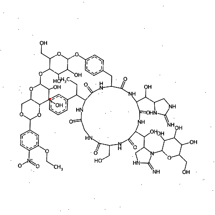 CCOc1cc(C2OCC3OC(OC4C(CO)OC(Oc5ccc(CC6NC(=O)C(C(CC)c7ccccc7)NC(=O)CNC(=O)C(CO)NC(=O)C(C(O)C7CNC(=N)N7C7OC(CO)C(O)C(O)C7O)NC(=O)C(C(O)C7CNC(=N)N7)NC6=O)cc5)C(O)C4O)C(O)C(O)C3O2)ccc1[N+](=O)[O-]